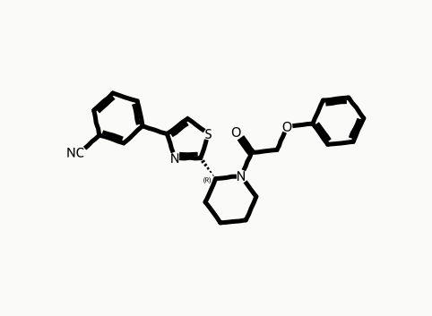 N#Cc1cccc(-c2csc([C@H]3CCCCN3C(=O)COc3ccccc3)n2)c1